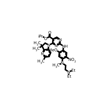 CCN(CC)CCN(C)c1cc(OC)c(Nc2ncc(C(=O)OC(C)C)c(N3CC(C)(C)c4nc(C)ccc43)n2)cc1[N+](=O)[O-]